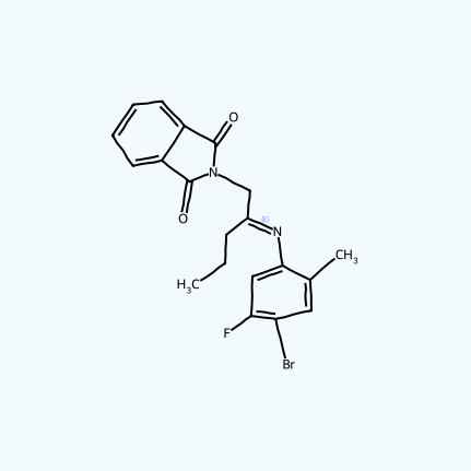 CCC/C(CN1C(=O)c2ccccc2C1=O)=N\c1cc(F)c(Br)cc1C